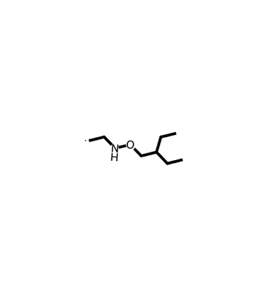 [CH2]CNOCC(CC)CC